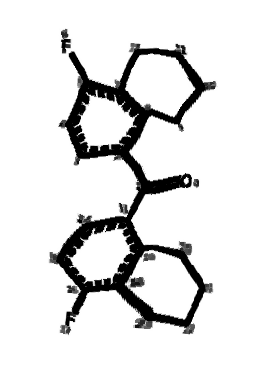 O=C(c1ccc(F)c2c1CCCC2)c1ccc(F)c2c1CCCC2